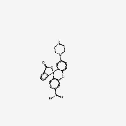 CCN(CC)c1ccc2c(c1)Oc1ccc(N3CCNCC3)cc1C21OC(=O)c2ccccc21